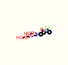 O=C(CN(C[C@@H]1CN(c2ccc3cc(-c4ccccc4C(F)(F)F)[nH]c(=O)c3c2)CO1)C(=O)O)OCCO